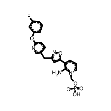 Nc1c(-c2cc(Cc3ccc(Oc4cccc(F)c4)nc3)no2)ccc[n+]1COP(=O)([O-])O